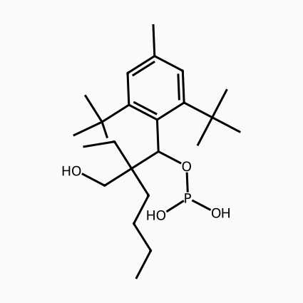 CCCCC(CC)(CO)C(OP(O)O)c1c(C(C)(C)C)cc(C)cc1C(C)(C)C